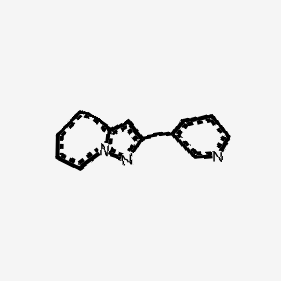 c1cncc(-c2cc3ccccn3n2)c1